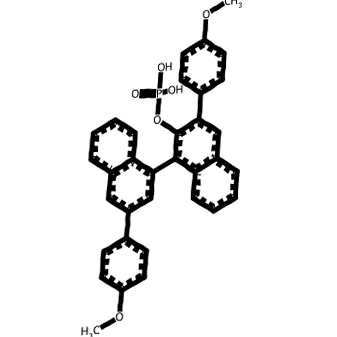 COc1ccc(-c2cc(-c3c(OP(=O)(O)O)c(-c4ccc(OC)cc4)cc4ccccc34)c3ccccc3c2)cc1